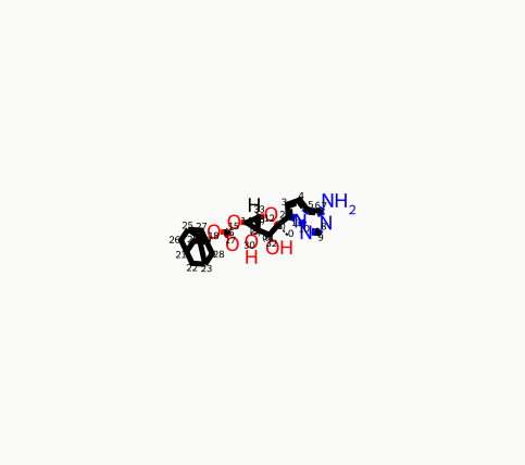 C[C@@]1(c2ccc3c(N)ncnn23)O[C@@H]2C(OC(=O)OC34CC5CC(CC(C5)C3)C4)[C@]2(O)[C@H]1O